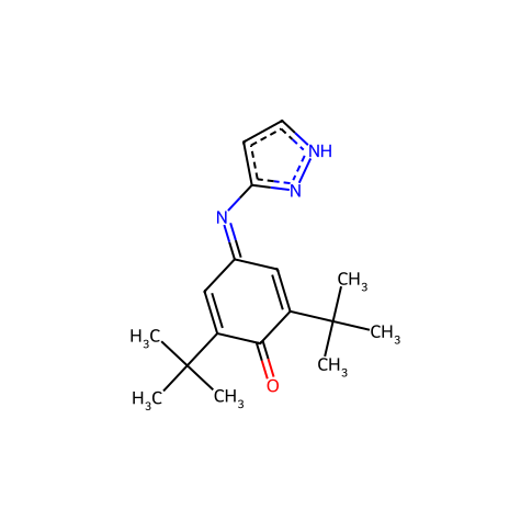 CC(C)(C)C1=CC(=Nc2cc[nH]n2)C=C(C(C)(C)C)C1=O